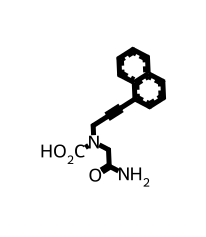 NC(=O)CN(CC#Cc1cccc2ccccc12)C(=O)O